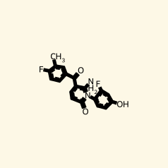 Cc1cc(C(=O)c2ccc(=O)n(-c3ccc(O)cc3F)c2N)ccc1F